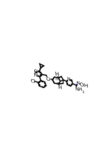 N/C(=N\O)c1ccc(C23C[C@H]4C[C@@H](OCc5c(-c6ccccc6Cl)noc5C5CC5)C[C@@H](C2)C43)nc1